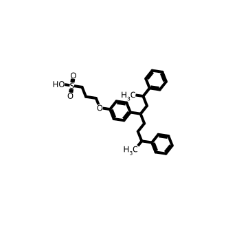 CC(CCC(CC(C)c1ccccc1)c1ccc(OCCCS(=O)(=O)O)cc1)c1ccccc1